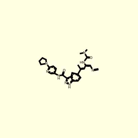 C=N/C=C(\C=C(/C)c1ccc2[nH]nc(C(=O)Nc3ccc(N4CCCC4)nc3)c2c1)NC(=O)N(C)C